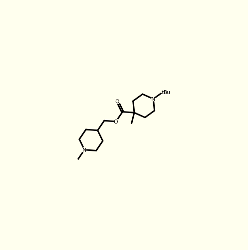 CN1CCC(COC(=O)C2(C)CCN(C(C)(C)C)CC2)CC1